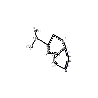 CCCCN(CCCC)c1cnc2/c(c1)=C/C=C\C=C\C=2